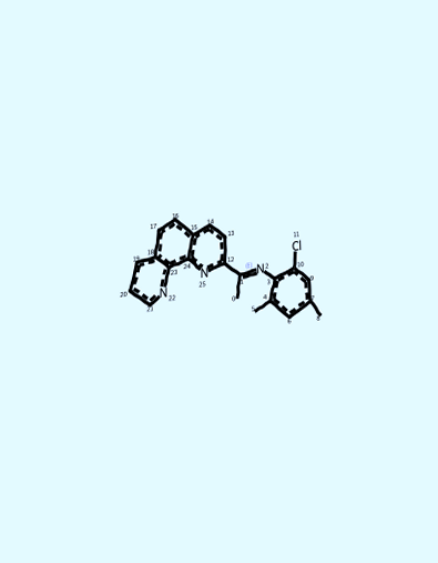 C/C(=N\c1c(C)cc(C)cc1Cl)c1ccc2ccc3cccnc3c2n1